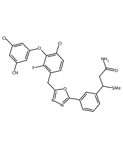 CSC(CC(N)=O)c1cccc(-c2nnc(Cc3ccc(Cl)c(Oc4cc(Cl)cc(C#N)c4)c3F)o2)c1